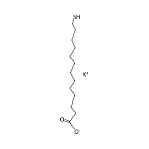 O=C([O-])CCCCCCCCCCCCS.[K+]